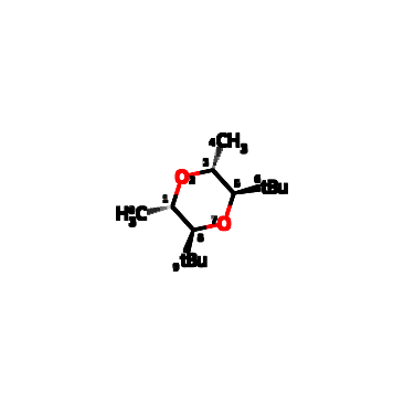 C[C@@H]1O[C@H](C)[C@@H](C(C)(C)C)O[C@H]1C(C)(C)C